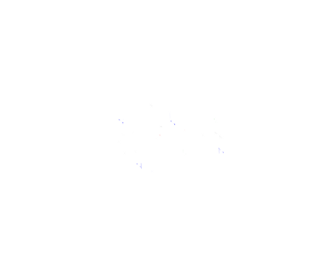 Cn1c2ccc(N)cc2c2c(C(=O)NOCc3c(Cl)cncc3Cl)cccc21